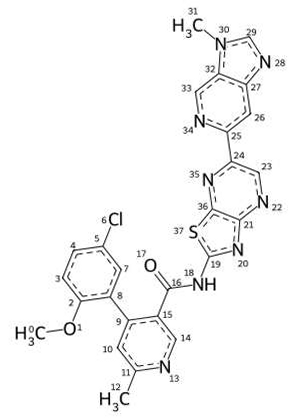 COc1ccc(Cl)cc1-c1cc(C)ncc1C(=O)Nc1nc2ncc(-c3cc4ncn(C)c4cn3)nc2s1